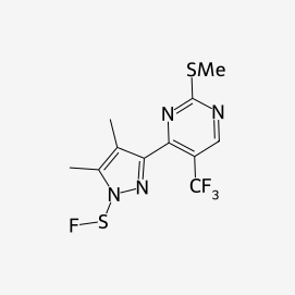 CSc1ncc(C(F)(F)F)c(-c2nn(SF)c(C)c2C)n1